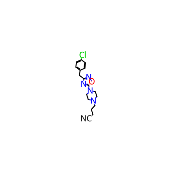 N#CCCCN1CCN(c2nc(Cc3ccc(Cl)cc3)no2)CC1